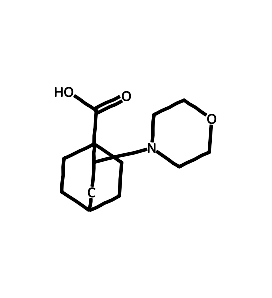 O=C(O)C12CCC(CC1)CC2N1CCOCC1